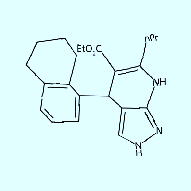 CCCC1=C(C(=O)OCC)C(c2cccc3c2CCCC3)c2c[nH]nc2N1